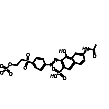 CC(=O)Nc1ccc2cc(S(=O)(=O)O)c(/N=N/c3ccc(S(=O)(=O)CCOS(=O)(=O)O)cc3)c(O)c2c1